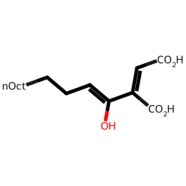 CCCCCCCCCCC=C(O)/C(=C/C(=O)O)C(=O)O